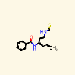 C=C/C=C(\C=C\NC=S)NC(=O)c1ccccc1